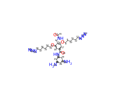 CC(=O)NCc1c(OCCCCCCN=[N+]=[N-])cc(C(=O)N[C@@H]2C[C@H](N)C[C@H](N)C2)cc1OCCCCCCN=[N+]=[N-]